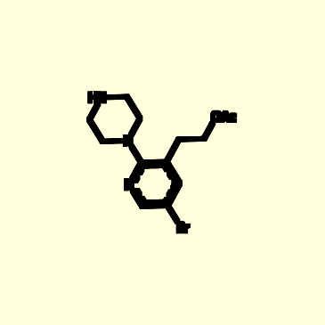 CC(=O)OCCc1cc(Br)cnc1N1CCNCC1